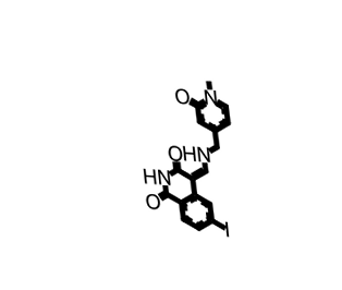 Cn1ccc(CNC=C2C(=O)NC(=O)c3ccc(I)cc32)cc1=O